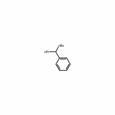 CCCCC(CCC)c1ccccc1